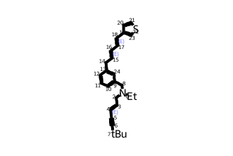 CCN(C/C=C/C#CC(C)(C)C)Cc1cccc(C/C=C/C=C/c2ccsc2)c1